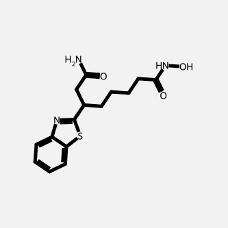 NC(=O)CC(CCCCC(=O)NO)c1nc2ccccc2s1